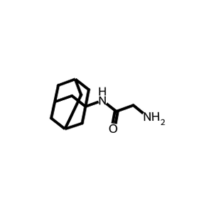 NCC(=O)NC12CC3CC(CC(C3)C1)C2